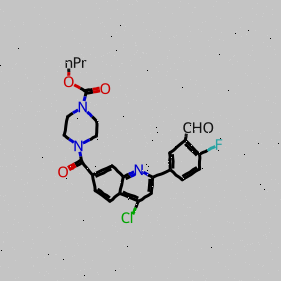 CCCOC(=O)N1CCN(C(=O)c2ccc3c(Cl)cc(-c4ccc(F)c(C=O)c4)nc3c2)CC1